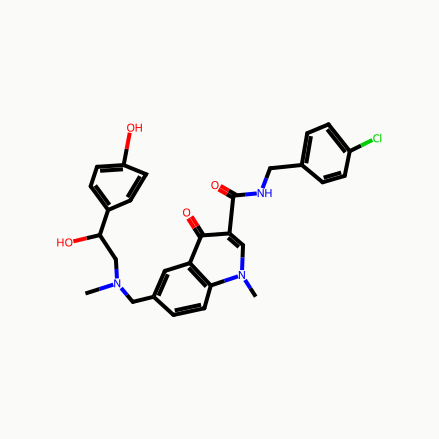 CN(Cc1ccc2c(c1)c(=O)c(C(=O)NCc1ccc(Cl)cc1)cn2C)CC(O)c1ccc(O)cc1